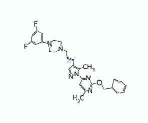 Cc1cc(-n2ncc(/C=C/CN3CCN(c4cc(F)cc(F)c4)CC3)c2C)nc(OCc2ccccc2)n1